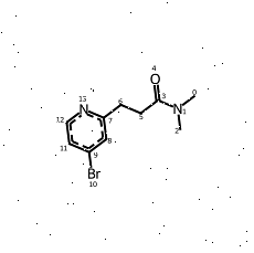 CN(C)C(=O)CCc1cc(Br)ccn1